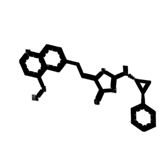 CCSc1ccnc2ccc(C/C=C3\SC(N[C@@H]4C[C@H]4c4ccccc4)=NC3=O)cc12